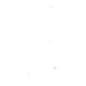 CCCOc1ccc(N)c(C#N)c1